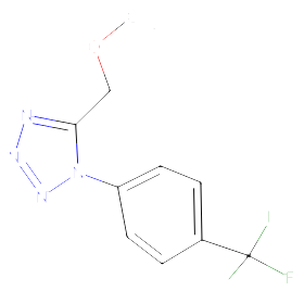 [CH2]OCc1nnnn1-c1ccc(C(F)(F)F)cc1